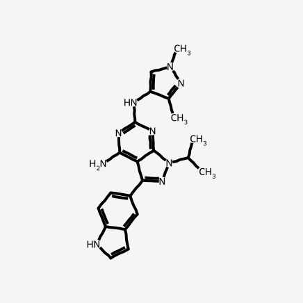 Cc1nn(C)cc1Nc1nc(N)c2c(-c3ccc4[nH]ccc4c3)nn(C(C)C)c2n1